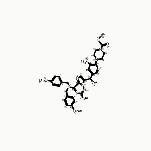 CCCCc1nc(N(Cc2ccc(OC)cc2)Cc2ccc(OC)cc2)c2ncc(C(O)c3cnc(N4CCN(C(=O)OC(C)(C)C)CC4)c(C)c3)n2n1